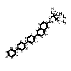 CC1(C)OB(c2ccc3cc(-c4ccc(-c5ccc(-c6ccccc6)cc5)cc4)ccc3c2)OC1(C)C